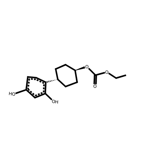 CCOC(=O)O[C@H]1CC[C@H](c2ccc(O)cc2O)CC1